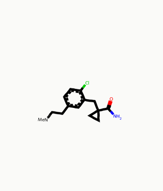 CNCCc1ccc(Cl)c(CC2(C(N)=O)CC2)c1